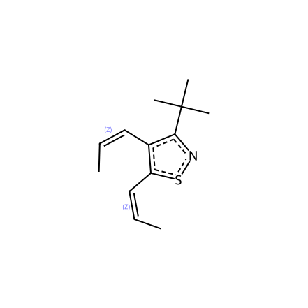 C/C=C\c1snc(C(C)(C)C)c1/C=C\C